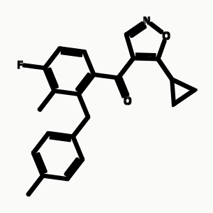 Cc1ccc(Cc2c(C(=O)c3cnoc3C3CC3)ccc(F)c2C)cc1